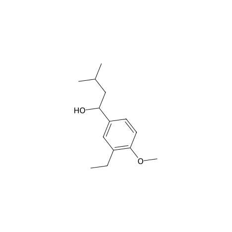 CCc1cc(C(O)CC(C)C)ccc1OC